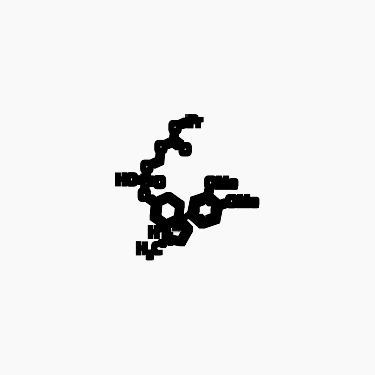 COc1ccc([C@@]23CCC(OP(=O)(O)OCOC(=O)OC(C)C)=C[C@@H]2N(C)CC3)cc1OC